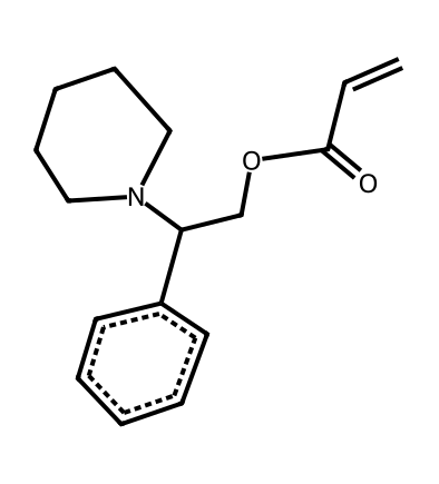 C=CC(=O)OCC(c1ccccc1)N1CCCCC1